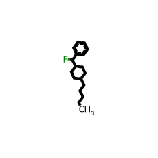 CCCCCC1CCC(C(F)c2ccccc2)CC1